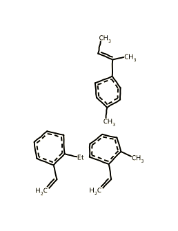 C=Cc1ccccc1C.C=Cc1ccccc1CC.CC=C(C)c1ccc(C)cc1